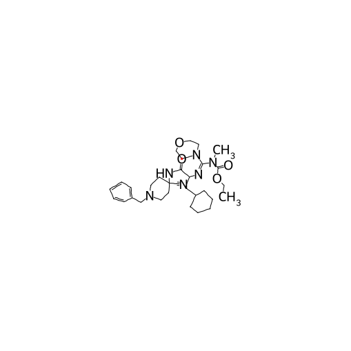 CCOC(=O)N(C)C(=NC(CC1CCCCC1)C(=O)NC1(C#N)CCN(Cc2ccccc2)CC1)N1CCOCC1